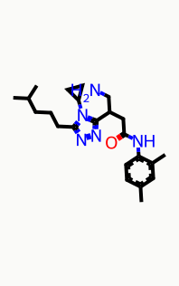 Cc1ccc(NC(=O)CC(CN)c2nnc(CCCC(C)C)n2C2CC2)c(C)c1